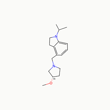 CO[C@H]1CCN(Cc2cccc3c2CCN3C(C)C)C1